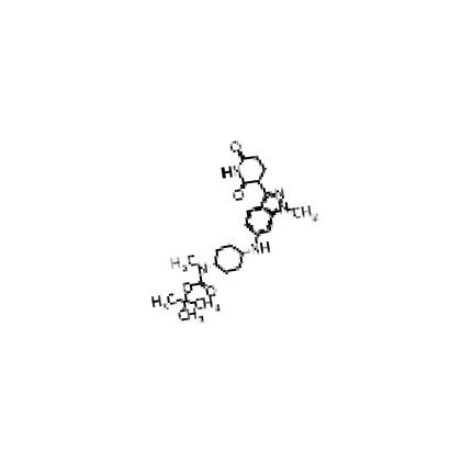 Cn1nc(C2CCC(=O)NC2=O)c2ccc(N[C@H]3CC[C@@H](N(C)C(=O)OC(C)(C)C)CC3)cc21